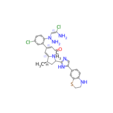 C[C@@H]1CC(c2ncc(-c3ccc4c(c3)SCCN4)[nH]2)N(C)/C1=C\C(=C/C=O)c1cc(Cl)ccc1N(N)/C=C(\N)Cl